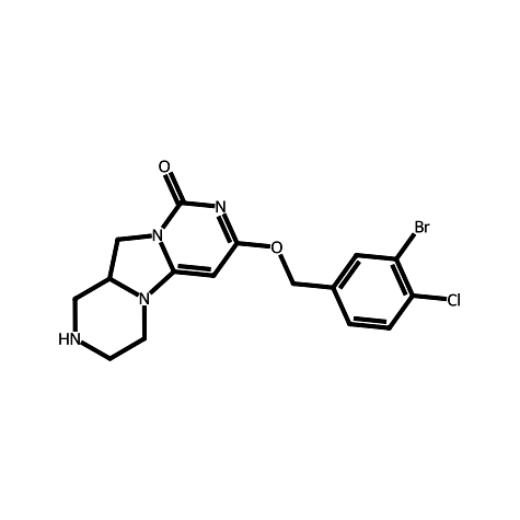 O=c1nc(OCc2ccc(Cl)c(Br)c2)cc2n1CC1CNCCN21